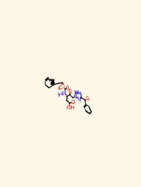 O=C(O)CC(NC(=O)OCc1ccccc1)C(=O)Cn1nnc(C(=O)c2ccccc2)n1